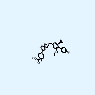 CCOc1cc(CN2CC3(CC(N4CCC(C)(C(=O)O)CC4)=NO3)C2)nc(C2CC2)c1-c1ccc(F)cc1